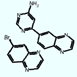 Brc1ccc2nccnc2c1.Nc1cc(-c2ccc3nccnc3c2)ncn1